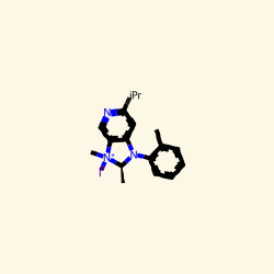 Cc1ccccc1N1c2cc(C(C)C)ncc2[N+](C)(I)[C@@H]1C